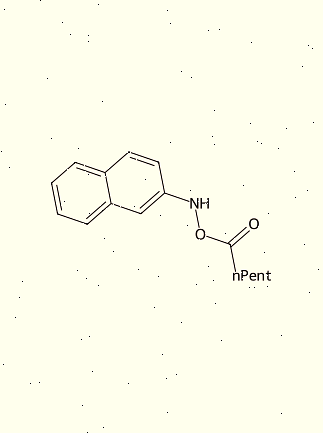 CCCCCC(=O)ONc1ccc2ccccc2c1